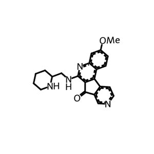 COc1ccc2c3c(c(NCC4CCCCN4)nc2c1)C(=O)c1cnccc1-3